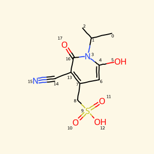 CC(C)n1c(O)cc(CS(=O)(=O)O)c(C#N)c1=O